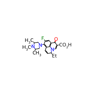 CCC1C=Cc2c(N3CC(C)N(C)C(C)C3)c(F)cc3c(=O)c(C(=O)O)cn1c23